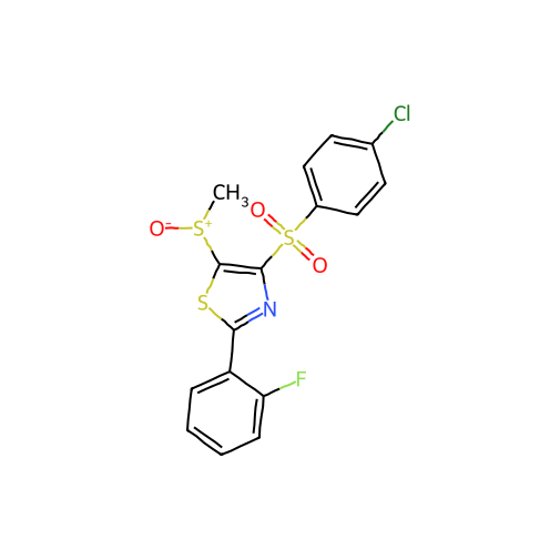 C[S+]([O-])c1sc(-c2ccccc2F)nc1S(=O)(=O)c1ccc(Cl)cc1